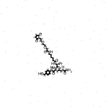 CC(C)[C@H](NC(=O)CCCCCNC(=O)COCCOCCN1C(=O)C=CC1=O)C(=O)N[C@@H](CCCNC(N)=O)C(=O)Nc1ccc(CO)cc1